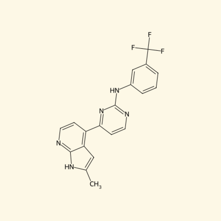 Cc1cc2c(-c3ccnc(Nc4cccc(C(F)(F)F)c4)n3)ccnc2[nH]1